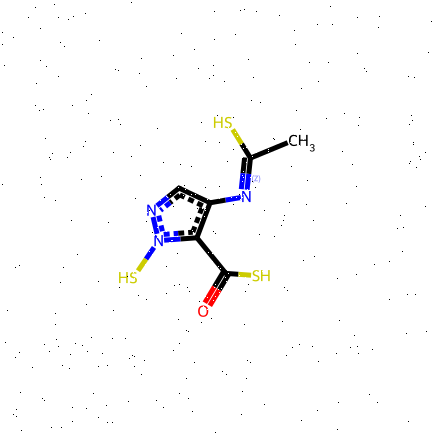 C/C(S)=N/c1cnn(S)c1C(=O)S